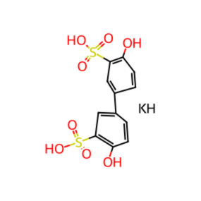 O=S(=O)(O)c1cc(-c2ccc(O)c(S(=O)(=O)O)c2)ccc1O.[KH]